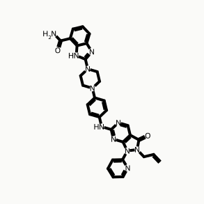 C=CCn1c(=O)c2cnc(Nc3ccc(N4CCN(c5nc6cccc(C(N)=O)c6[nH]5)CC4)cc3)nc2n1-c1ccccn1